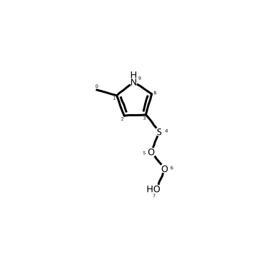 Cc1cc(SOOO)c[nH]1